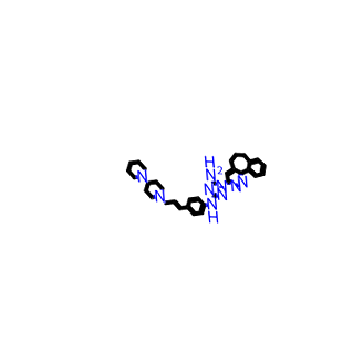 Nc1nc(Nc2ccc(C=CCN3CCC(N4CCCCC4)CC3)cc2)nn1-c1cc2c(nn1)-c1ccccc1CCC2